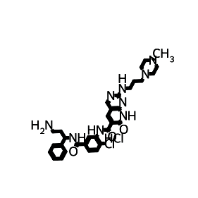 CN1CCN(CCCNc2ncc3cc(C(=O)Nc4cc(C(=O)NC(CCN)c5ccccc5)ccc4Cl)c(=O)[nH]c3n2)CC1.Cl